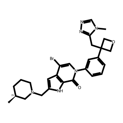 C[C@H]1CCCN(Cc2cc3c(Br)cn(-c4cccc(C5(Cc6nncn6C)COC5)c4)c(=O)c3[nH]2)C1